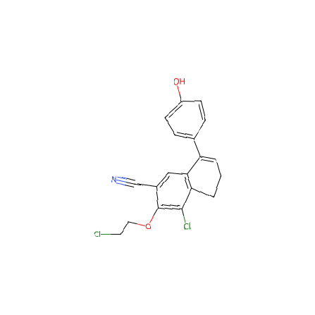 N#Cc1cc2c(c(Cl)c1OCCCl)CCC=C2c1ccc(O)cc1